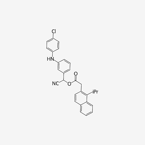 CC(C)c1c(CC(=O)OC(C#N)c2cccc(Nc3ccc(Cl)cc3)c2)ccc2ccccc12